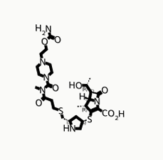 C[C@@H](O)[C@H]1C(=O)N2C(C(=O)O)=C(S[C@@H]3CN[C@H](CSCCC(=O)N(C)C(=O)N4CCN(CCOC(N)=O)CC4)C3)[C@H](C)[C@H]12